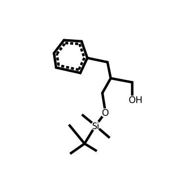 CC(C)(C)[Si](C)(C)OCC(CO)Cc1ccccc1